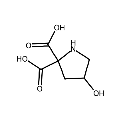 O=C(O)C1(C(=O)O)CC(O)CN1